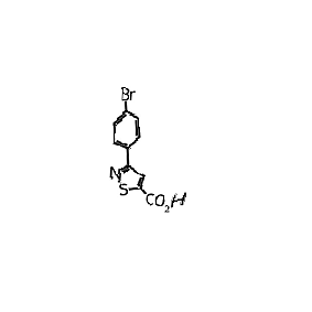 O=C(O)c1cc(-c2ccc(Br)cc2)ns1